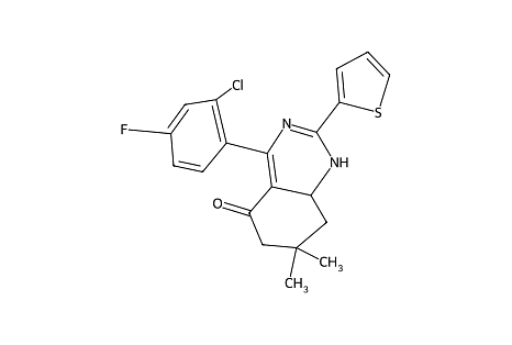 CC1(C)CC(=O)C2=C(c3ccc(F)cc3Cl)N=C(c3cccs3)NC2C1